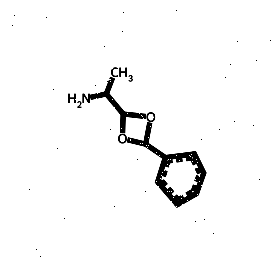 CC(N)C1OC(c2ccccc2)O1